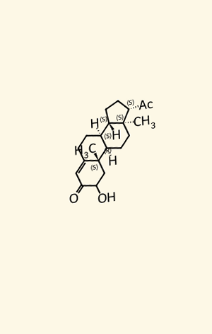 CC(=O)[C@H]1CC[C@H]2[C@@H]3CCC4=CC(=O)C(O)C[C@@]4(C)[C@@H]3CC[C@]12C